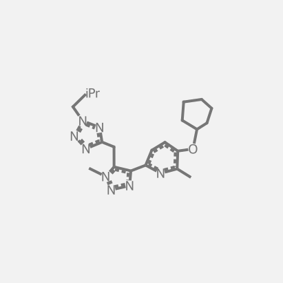 Cc1nc(-c2nnn(C)c2Cc2nnn(CC(C)C)n2)ccc1OC1CCCCC1